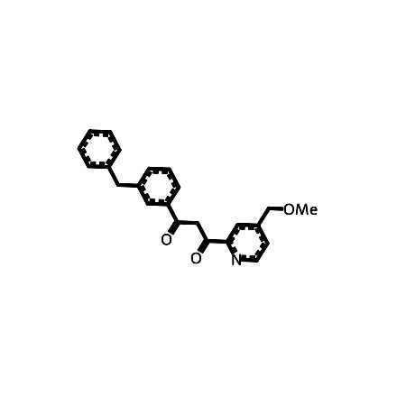 COCc1ccnc(C(=O)CC(=O)c2cccc(Cc3ccccc3)c2)c1